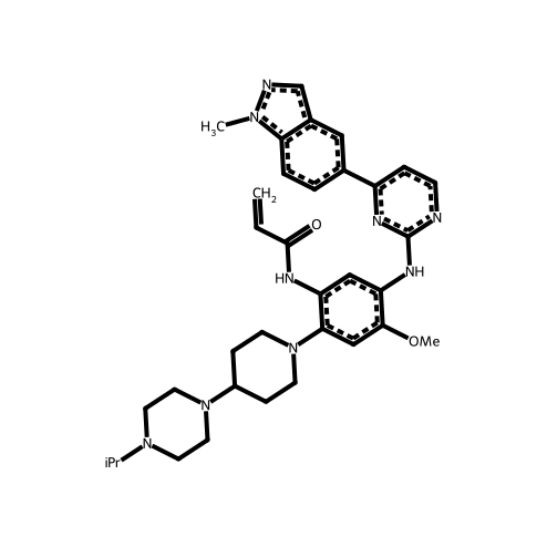 C=CC(=O)Nc1cc(Nc2nccc(-c3ccc4c(cnn4C)c3)n2)c(OC)cc1N1CCC(N2CCN(C(C)C)CC2)CC1